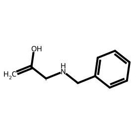 C=C(O)[CH]NCc1ccccc1